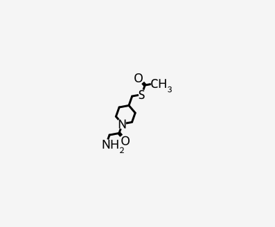 CC(=O)SCC1CCN(C(=O)CN)CC1